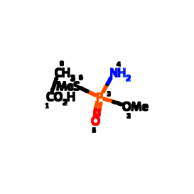 CC(=O)O.COP(N)(=O)SC